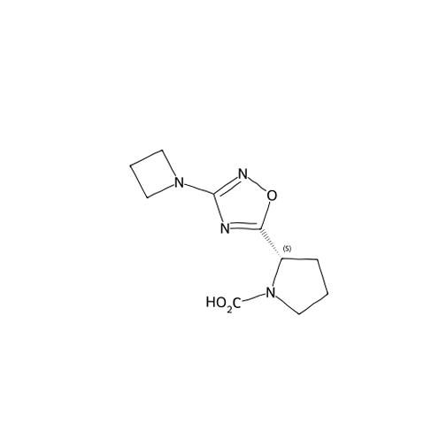 O=C(O)N1CCC[C@H]1c1nc(N2CCC2)no1